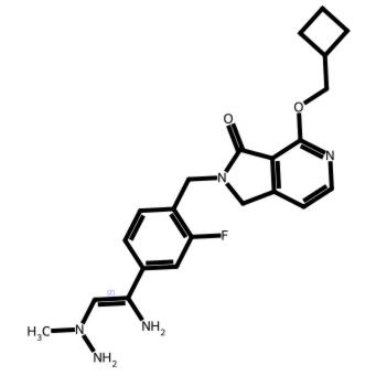 CN(N)/C=C(\N)c1ccc(CN2Cc3ccnc(OCC4CCC4)c3C2=O)c(F)c1